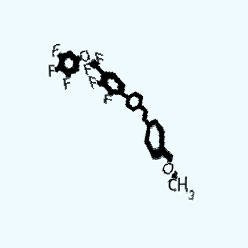 CCOCC1CCC(/C=C/C2CCC(c3ccc(C(F)(F)Oc4cc(F)c(F)c(F)c4)c(F)c3F)CC2)CC1